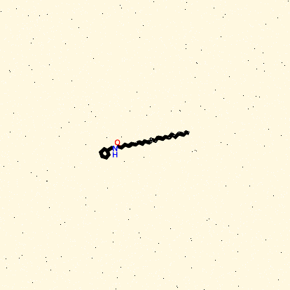 CCC=CCC=CCC=CCC=CCC=CCC=CCCC(=O)NCC1CCCCC1